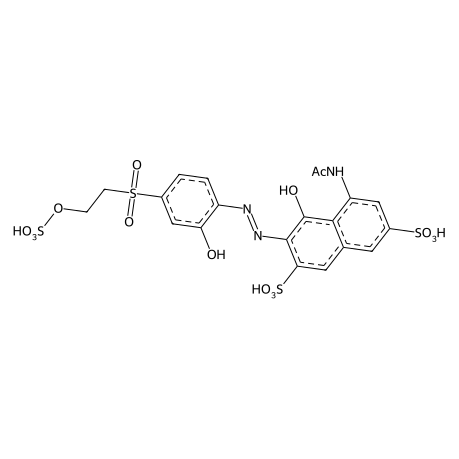 CC(=O)Nc1cc(S(=O)(=O)O)cc2cc(S(=O)(=O)O)c(N=Nc3ccc(S(=O)(=O)CCOS(=O)(=O)O)cc3O)c(O)c12